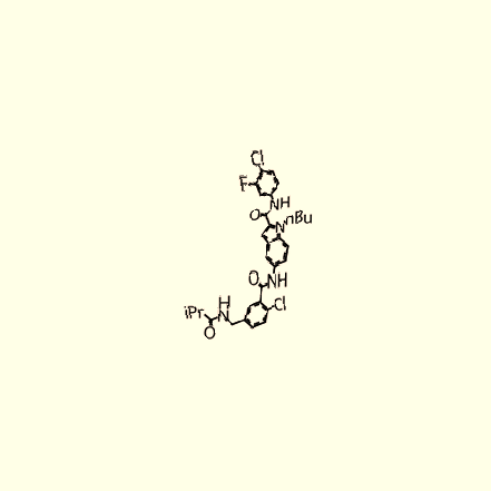 CCCCn1c(C(=O)Nc2ccc(Cl)c(F)c2)cc2cc(NC(=O)c3cc(CNC(=O)C(C)C)ccc3Cl)ccc21